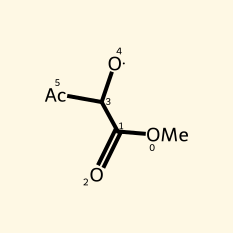 COC(=O)C([O])C(C)=O